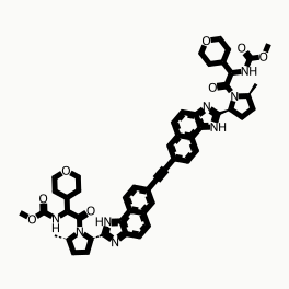 COC(=O)NC(C(=O)N1[C@@H](C)CC[C@H]1c1nc2ccc3cc(C#Cc4ccc5c(ccc6nc([C@@H]7CC[C@H](C)N7C(=O)C(NC(=O)OC)C7CCOCC7)[nH]c65)c4)ccc3c2[nH]1)C1CCOCC1